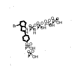 Brc1cccc2[nH]c(-c3ccccc3)cc12.O=[Te](=O)(O)F.O=[Te](=O)(O)F.O=[Te](=O)(O)F.O=[Te](=O)(O)F.O=[Te](=O)(O)F.O=[Te](=O)(O)F